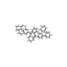 C1=CC2=CCc3cc(N4c5ccccc5B5c6ccc(-c7ccccc7-c7ccccc7)cc6-c6cccc4c65)cc4c3C2C(=C1)C=C4